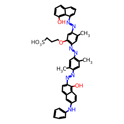 Cc1cc(N=Nc2ccc3cc(Nc4ccccc4)ccc3c2O)c(C)cc1N=Nc1cc(C)c(N=Nc2cccc3cccc(O)c23)cc1OCCCS(=O)(=O)O